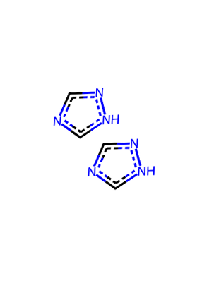 c1nc[nH]n1.c1nc[nH]n1